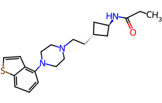 CCC(=O)N[C@H]1C[C@H](CCN2CCN(c3cccc4sccc34)CC2)C1